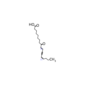 CCC/C=C\C#C/C=C/C(=O)CCCCCCCC(=O)O